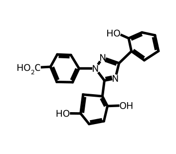 O=C(O)c1ccc(-n2nc(-c3ccccc3O)nc2-c2cc(O)ccc2O)cc1